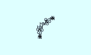 O=C1c2cccc3c(-n4cnnc4)ccc(c23)C(=O)N1CCNCCCNCCN1C(=O)c2cccc3c(-n4cnnc4)ccc(c23)C1=O